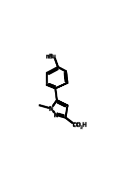 CCCCc1ccc(-c2cc(C(=O)O)nn2C)cc1